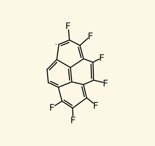 Fc1[c]c2ccc3c(F)c(F)c(F)c4c(F)c(F)c(c1F)c2c34